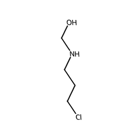 OCNCCCCl